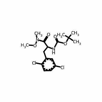 CON(C)C(=O)C(Cc1cc(Cl)ccc1Cl)NC(=O)OC(C)(C)C